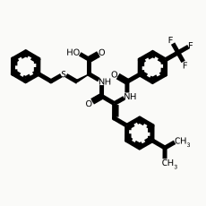 CC(C)c1ccc(C=C(NC(=O)c2ccc(C(F)(F)F)cc2)C(=O)N[C@@H](CSCc2ccccc2)C(=O)O)cc1